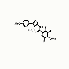 COc1ccc(-c2csc(NC(=O)c3cc(F)c(OC)c(F)c3F)c2C(=O)O)cc1